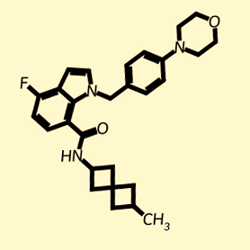 CC1CC2(C1)CC(NC(=O)c1ccc(F)c3ccn(Cc4ccc(N5CCOCC5)cc4)c13)C2